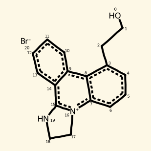 OCCc1cccc2c1c1ccccc1c1[n+]2CCN1.[Br-]